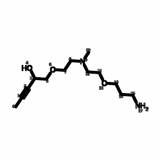 CC#CC(O)COCCN(C)CCOCCCN